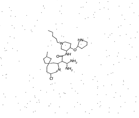 CCCCCN1CCC(OC2CCCNC2)C(NC(=O)C(C(N)N)C2CC3(CCC(Cl)/C=N\2)CCC(C)C3)C1